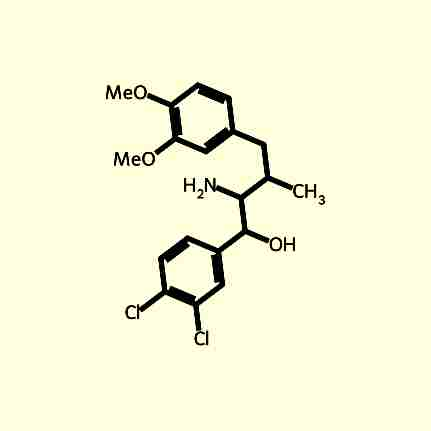 COc1ccc(CC(C)C(N)C(O)c2ccc(Cl)c(Cl)c2)cc1OC